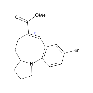 COC(=O)/C1=C/c2cc(Br)ccc2N2CCCC2CC1